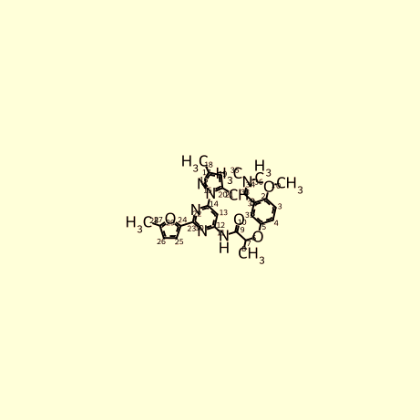 COc1ccc(OC(C)C(=O)Nc2cc(-n3nc(C)cc3C)nc(-c3ccc(C)o3)n2)cc1CN(C)C